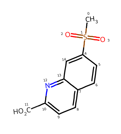 CS(=O)(=O)c1ccc2ccc(C(=O)O)nc2c1